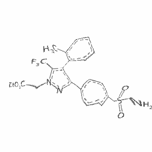 CCOC(=O)Cn1nc(-c2ccc(S(N)(=O)=O)cc2)c(-c2ccccc2C)c1C(F)(F)F